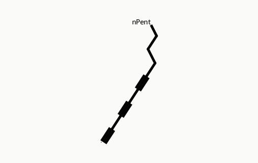 [C]#CC#CC#CCCCCCCCC